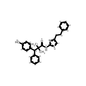 CC(C)(C(=O)Nc1nc(CCc2ccccc2)cs1)C(c1ccccc1)c1ccc(O)cc1